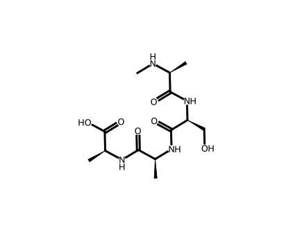 CN[C@@H](C)C(=O)N[C@@H](CO)C(=O)N[C@@H](C)C(=O)N[C@@H](C)C(=O)O